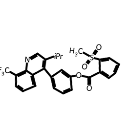 CC(C)c1cnc2c(C(F)(F)F)cccc2c1-c1cccc(OC(=O)c2ccccc2S(C)(=O)=O)c1